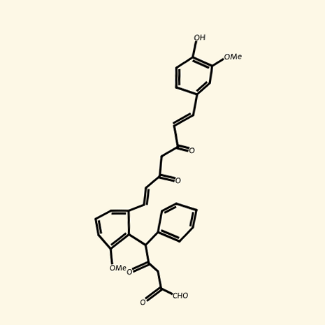 COc1cc(C=CC(=O)CC(=O)C=Cc2cccc(OC)c2C(C(=O)CC(=O)C=O)c2ccccc2)ccc1O